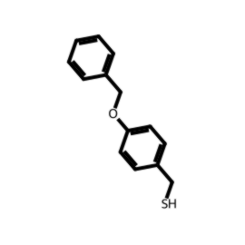 SCc1ccc(OCc2ccccc2)cc1